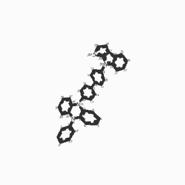 c1ccc(N2c3ccccc3N(c3ccc(-c4ccc(-n5c6ccccc6c6ccsc65)cc4)cc3)c3ccccc32)cc1